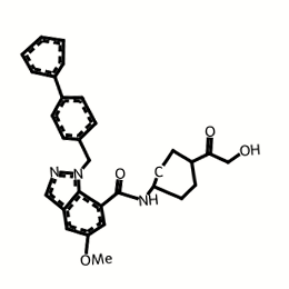 COc1cc(C(=O)NC2CCC(C(=O)CO)CC2)c2c(cnn2Cc2ccc(-c3ccccc3)cc2)c1